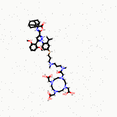 COc1cccc(OC)c1-c1cc(C2=NC3(C(=O)O2)C2CC4CC(C2)CC3C4)nn1-c1ccc(SCCCN(C)CCCN(C)C(=O)CN2CCN(CC(=O)O)CCN(CC(=O)O)CCN(CC(O)O)CC2)cc1C(C)C